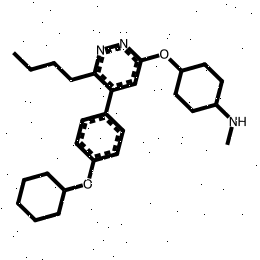 CCCCc1nnc(OC2CCC(NC)CC2)cc1-c1ccc(OC2CCCCC2)cc1